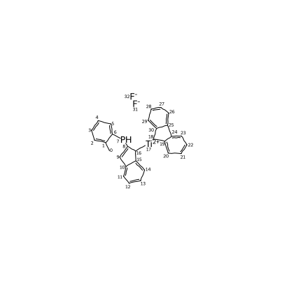 Cc1ccccc1PC1=Cc2ccccc2[CH]1[Ti+2][CH]1c2ccccc2-c2ccccc21.[F-].[F-]